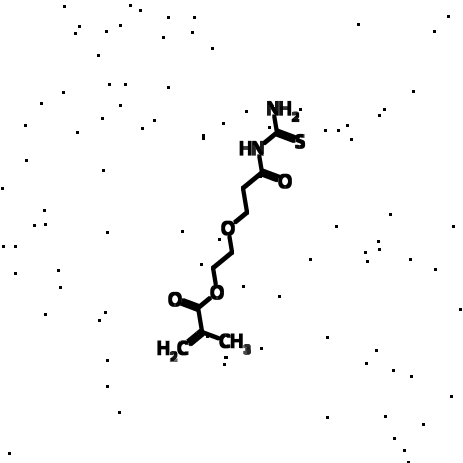 C=C(C)C(=O)OCCOCCC(=O)NC(N)=S